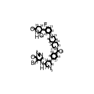 CN1C[C@H](Nc2cnn(C)c(=O)c2Br)C[C@H](c2ccc(C(=O)N3CCC4(CC3)CCN(c3ccc(F)c(C5CCC(=O)NC5=O)c3)CC4)cc2)C1